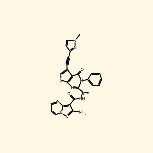 C[C@@H](NC(=O)c1c(N)nn2cccnc12)c1nc2scc(C#Cc3ccn(C)n3)c2c(=O)n1-c1ccccc1